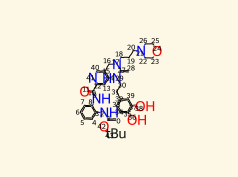 C=C(Nc1ccccc1NC(=O)c1ccc(CN(CCCN2CCOCC2)C(=C)NCCc2ccc(O)c(O)c2)cn1)OC(C)(C)C